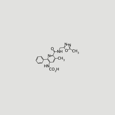 Cc1nnc(CNC(=O)c2nc(-c3ccccc3)c(NC(=O)O)cc2C)o1